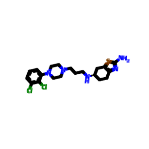 Nc1nc2c(s1)C[C@@H](NCCCN1CCN(c3cccc(Cl)c3Cl)CC1)CC2